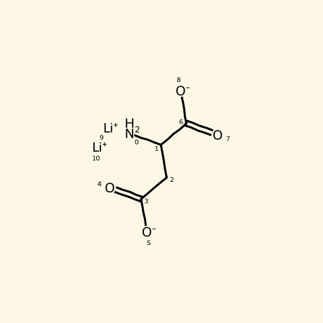 NC(CC(=O)[O-])C(=O)[O-].[Li+].[Li+]